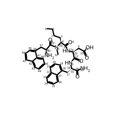 CCCC[C@@H](C(=O)N[C@@H](CC(=O)O)C(=O)N[C@@H](Cc1cccc2ccccc12)C(N)=O)N(C)C(=O)[C@@H](N)Cc1cccc2ccccc12